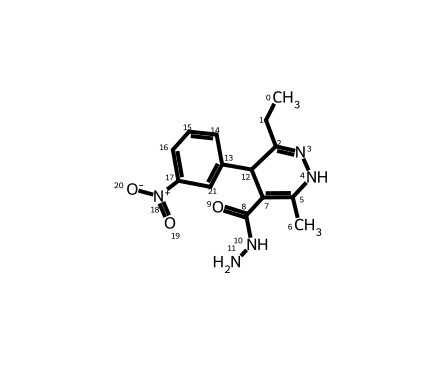 CCC1=NNC(C)=C(C(=O)NN)C1c1cccc([N+](=O)[O-])c1